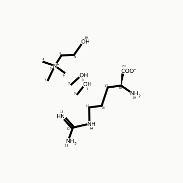 CO.CO.C[N+](C)(C)CCO.N=C(N)NCCC[C@H](N)C(=O)[O-]